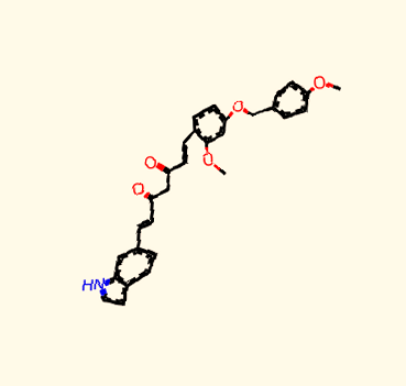 COc1ccc(COc2ccc(/C=C/C(=O)CC(=O)/C=C/c3ccc4cc[nH]c4c3)c(OC)c2)cc1